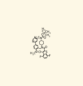 COc1ccc(-c2ccccn2)cc1CN(C(=O)c1sc2c(F)ccc(F)c2c1Cl)[C@H]1CC[C@H](N(C)C(=O)OC(C)(C)C)CC1